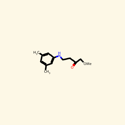 COCC(=O)CCNc1cc(C)cc(C)c1